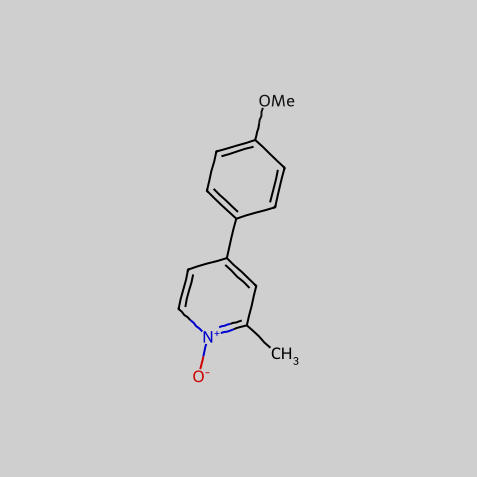 COc1ccc(-c2cc[n+]([O-])c(C)c2)cc1